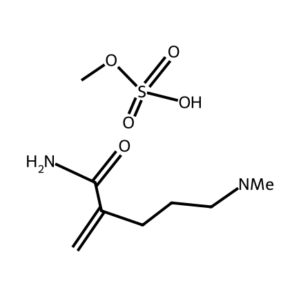 C=C(CCCNC)C(N)=O.COS(=O)(=O)O